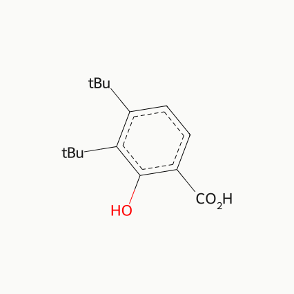 CC(C)(C)c1ccc(C(=O)O)c(O)c1C(C)(C)C